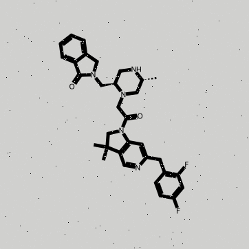 C[C@@H]1CN(CC(=O)N2CC(C)(C)c3cnc(Cc4ccc(F)cc4F)cc32)[C@@H](CN2Cc3ccccc3C2=O)CN1